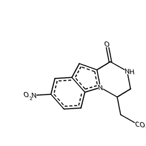 O=C(O)CC1CNC(=O)c2cc3cc([N+](=O)[O-])ccc3n21